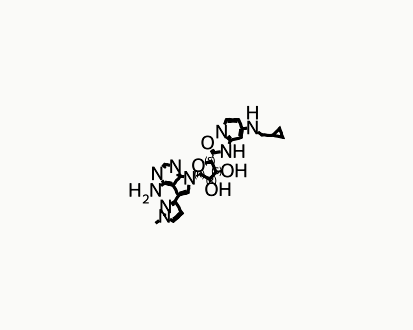 Cn1ccc(-c2cn([C@@H]3O[C@H](C(=O)Nc4cc(NCC5CC5)ccn4)[C@@H](O)[C@H]3O)c3ncnc(N)c23)n1